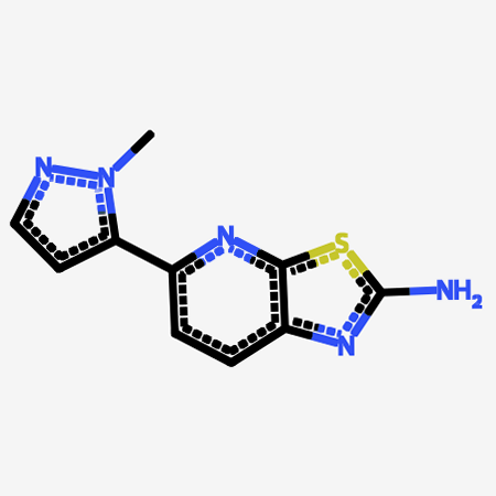 Cn1nccc1-c1ccc2nc(N)sc2n1